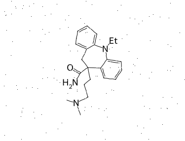 CCN1c2ccccc2CC(CCCN(C)C)(C(N)=O)c2ccccc21